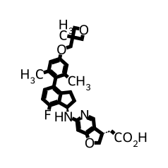 Cc1cc(OCC2(C)COC2)cc(C)c1-c1ccc(F)c2c1CC[C@H]2Nc1cc2c(cn1)[C@H](CC(=O)O)CO2